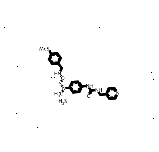 CSc1ccc(CNOSN(C)c2ccc(NC(=O)NCc3ccncc3)cc2)cc1.S